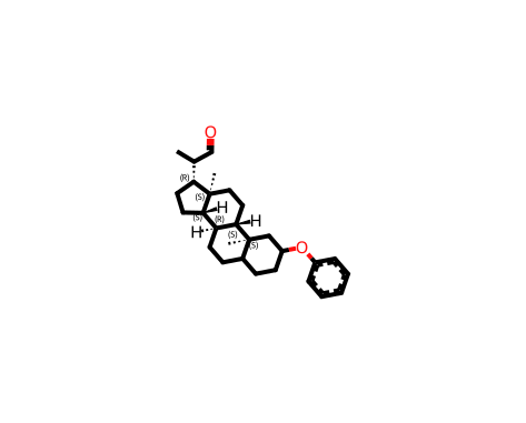 CC(C=O)[C@H]1CC[C@H]2[C@@H]3CCC4CCC(Oc5ccccc5)C[C@]4(C)[C@H]3CC[C@]12C